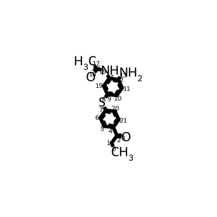 CCC(=O)c1ccc(Sc2ccc(N)c(NC(C)=O)c2)cc1